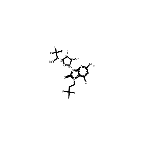 Nc1nc(Cl)c2c(n1)n([C@@H]1O[C@H](C(O)C(F)(F)F)[C@H](F)[C@H]1O)c(=O)n2CCC(F)(F)F